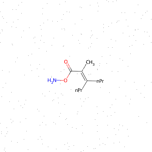 CCCC(CCC)=C(C)C(=O)ON